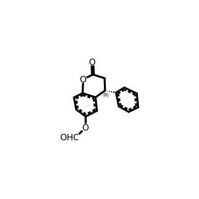 O=COc1ccc2c(c1)[C@@H](c1ccccc1)CC(=O)O2